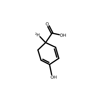 [2H]C1(C(=O)O)C=CC(O)=CC1